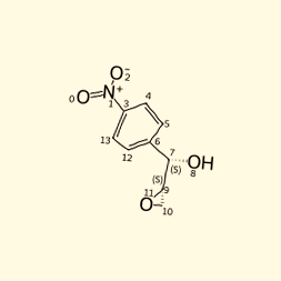 O=[N+]([O-])c1ccc([C@H](O)[C@@H]2CO2)cc1